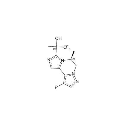 C[C@H]1Cn2ncc(F)c2-c2cnc([C@@](C)(O)C(F)(F)F)n21